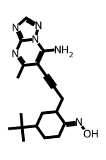 Cc1nc2ncnn2c(N)c1C#CCC1CC(C(C)(C)C)CCC1=NO